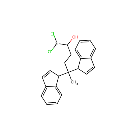 CC(CC[CH](O)[Zr]([Cl])[Cl])(C1C=Cc2ccccc21)C1C=Cc2ccccc21